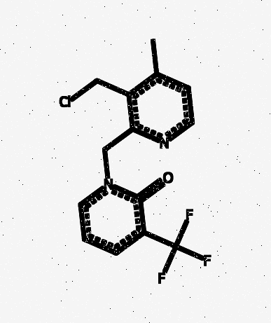 Cc1ccnc(Cn2cccc(C(F)(F)F)c2=O)c1CCl